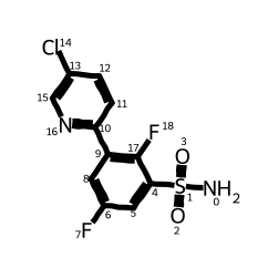 NS(=O)(=O)c1cc(F)cc(-c2ccc(Cl)cn2)c1F